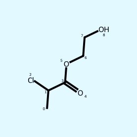 CC(Cl)C(=O)OCCO